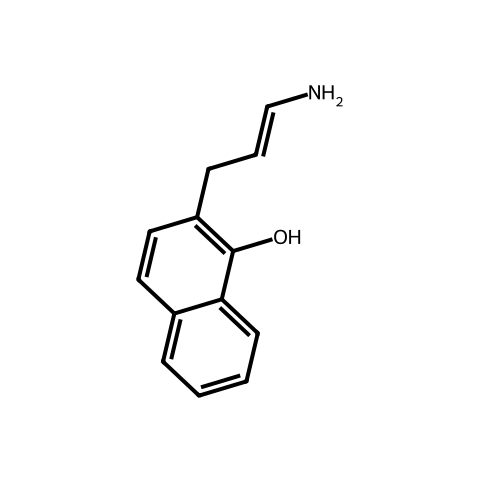 NC=CCc1ccc2ccccc2c1O